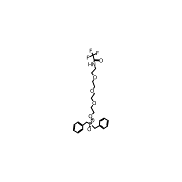 O=C(NCCOCCOCCOCCOOP(=O)(Cc1ccccc1)Cc1ccccc1)C(F)(F)F